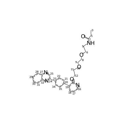 CCC(=O)NCCOCCOCCOc1ncccc1-c1ccc(-c2cnc3ccccc3n2)cc1